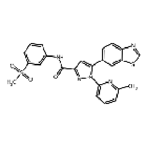 Cc1cccc(-n2nc(C(=O)Nc3cccc(S(C)(=O)=O)c3)cc2-c2ccc3ncsc3c2)n1